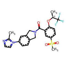 Cc1nccn1-c1ccc2c(c1)CN(C(=O)c1cc(S(C)(=O)=O)ccc1O[C@@H](C)C(F)(F)F)C2